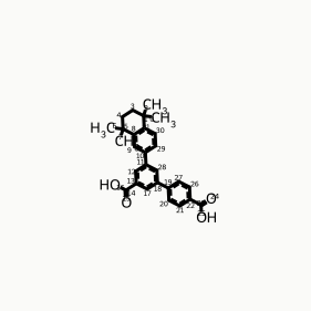 CC1(C)CCC(C)(C)c2cc(-c3cc(C(=O)O)cc(-c4ccc(C(=O)O)cc4)c3)ccc21